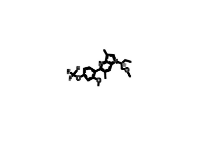 CC[C@@H](COC)n1cc(C)c2nc(-c3ccc(OC(F)(F)F)cc3OC)c(C)cc21